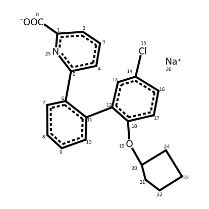 O=C([O-])c1cccc(-c2ccccc2-c2cc(Cl)ccc2OC2CCCC2)n1.[Na+]